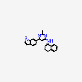 Cc1nc(N[C@@H]2CCCc3ccccc32)cc(-c2ccc3ccn(C)c3c2)n1